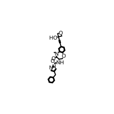 CN1C(=O)[C@H](NC(=O)n2cc(Cc3ccccc3)cn2)COc2ccc(C#CC3(O)COC3)cc21